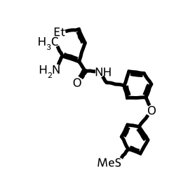 CC/C=C\C(C(=O)NCc1cccc(Oc2ccc(SC)cc2)c1)=C(/C)N